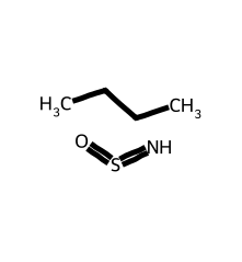 CCCC.N=S=O